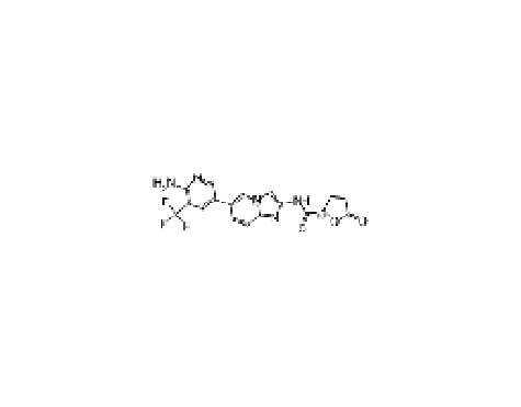 Nc1ncc(-c2ccc3nc(NC(=O)[C@H]4CCC(=O)O4)cn3c2)cc1C(F)(F)F